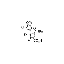 CC(C)(C)[C@@H]1Oc2c(cc(Cl)c3occc23)-c2c1cc(C(=O)O)c(=O)n2C1CC1